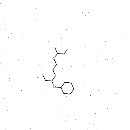 CCC(C)OCCCC(CC)OC1CCCCC1